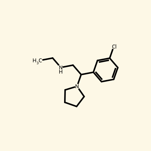 CCNCC(c1cccc(Cl)c1)N1CCCC1